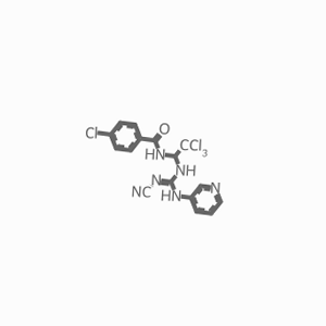 N#C/N=C(\Nc1cccnc1)NC(NC(=O)c1ccc(Cl)cc1)C(Cl)(Cl)Cl